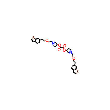 O=C(OC1CCN(CCOCCc2ccc3ccsc3c2)C1)C(=O)OC1CCN(CCOCCc2ccc3ccsc3c2)C1